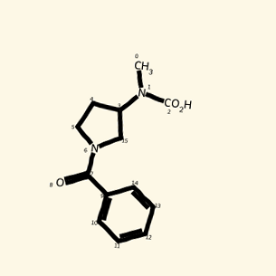 CN(C(=O)O)C1CCN(C(=O)c2ccccc2)C1